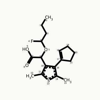 CCCC(F)OC(C(=O)O)c1c(C)sc(C)c1C1=CCCC1